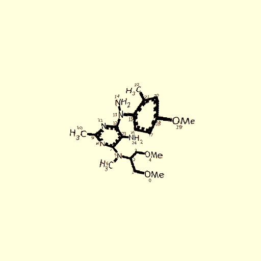 COCC(COC)N(C)c1nc(C)nc(N(N)c2ccc(OC)cc2C)c1N